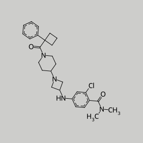 CN(C)C(=O)c1ccc(NC2CN(C3CCN(C(=O)C4(c5ccccc5)CCC4)CC3)C2)cc1Cl